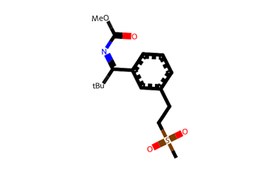 COC(=O)/N=C(\c1cccc(CCS(C)(=O)=O)c1)C(C)(C)C